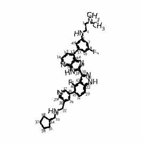 CN(C)CCNc1cc(F)cc(-c2ccnc3[nH]c(-c4n[nH]c5ccc(-c6cncc(CNCC7CCCC7)c6)c(F)c45)nc23)c1